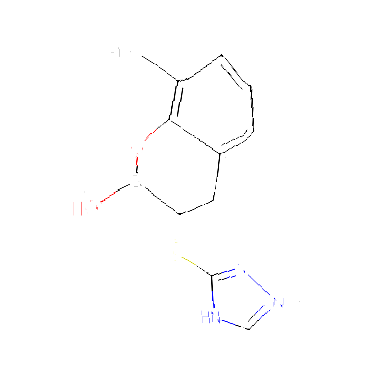 Cc1cccc2c1OB(O)[C@@H](Sc1nnc[nH]1)C2